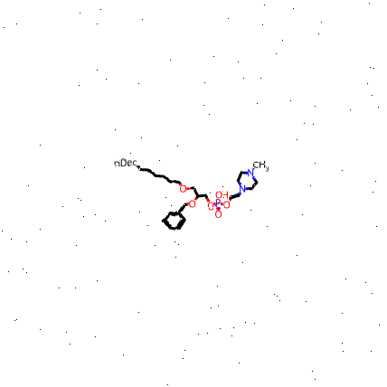 CCCCCCCCCCCCCCCCOCC(COP(=O)(O)OCCN1CCN(C)CC1)OCc1ccccc1